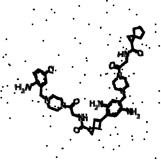 Nc1cc(C2CC3(C2)CC3C(=O)NCC(=O)N2CCN(Cc3cc(Cl)ccc3N)CC2)c(N)cc1CN1CCN(C(=O)CNC(=O)C2CC23CCCC3)CC1